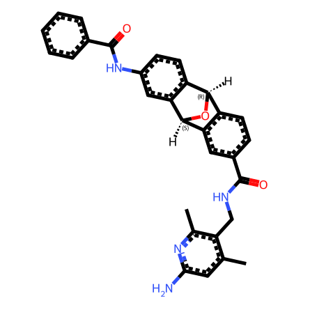 Cc1cc(N)nc(C)c1CNC(=O)c1ccc2c(c1)[C@@H]1O[C@H]2c2ccc(NC(=O)c3ccccc3)cc21